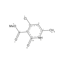 COC(=O)c1c(Cl)cc(C)[nH]c1=O